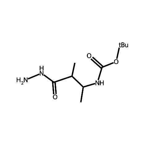 CC(NC(=O)OC(C)(C)C)C(C)C(=O)NN